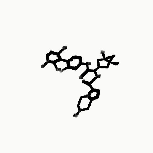 CC(=O)N1CCn2c(ccc2C(=O)NC(C(=O)Nc2ccc(-c3c(Cl)cc[n+]([O-])c3C)c(F)c2)C2C[C@@H]3C[C@@H]3C2)C1